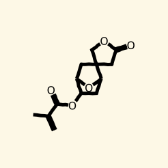 C=C(C)C(=O)OC1CC2OC1CC21COC(=O)C1